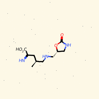 C[C@H](CNC[C@H]1CNC(=O)O1)CC(=N)C(=O)O